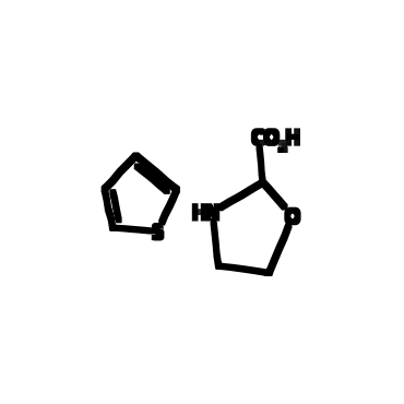 O=C(O)C1NCCO1.c1ccsc1